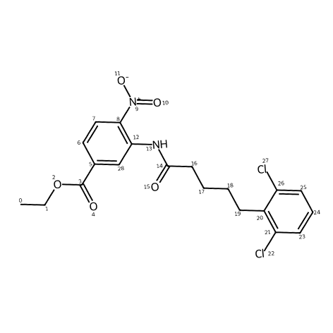 CCOC(=O)c1ccc([N+](=O)[O-])c(NC(=O)CCCCc2c(Cl)cccc2Cl)c1